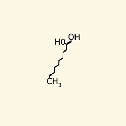 CCCCCCCCCC(O)=CO